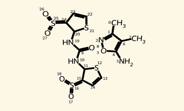 Cc1noc(N)c1C.O=C(NC1SC=CC1=S(=O)=O)NC1SC=CC1=S(=O)=O